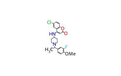 COc1ccc(C(C)N2CCC(Nc3cc(=O)oc4ccc(Cl)cc34)CC2)cc1F